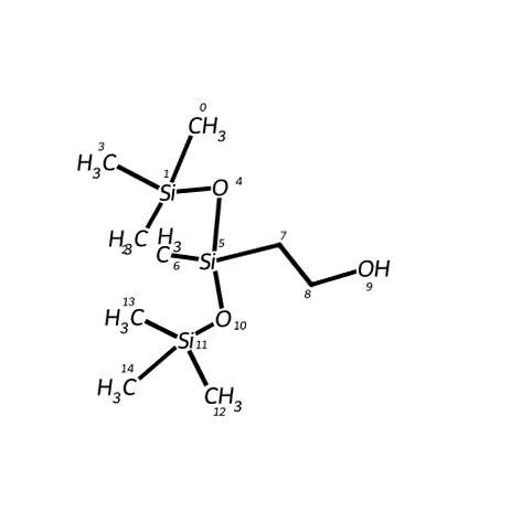 C[Si](C)(C)O[Si](C)(CCO)O[Si](C)(C)C